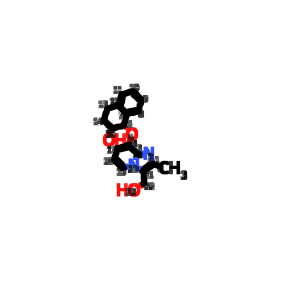 Cc1nc2c(O[C@@H]3c4ccccc4CC[C@H]3O)cccn2c1CO